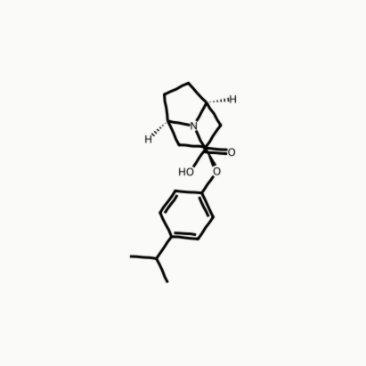 CC(C)c1ccc(O[C@H]2C[C@H]3CC[C@@H](C2)N3C(=O)O)cc1